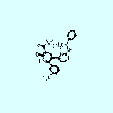 CC(Nc1nccc(-c2cc(C(N)=O)c(=O)[nH]c2-c2cccc(C(F)(F)F)c2)n1)c1ccccc1